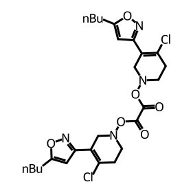 CCCCc1cc(C2=C(Cl)CCN(OC(=O)C(=O)ON3CCC(Cl)=C(c4cc(CCCC)on4)C3)C2)no1